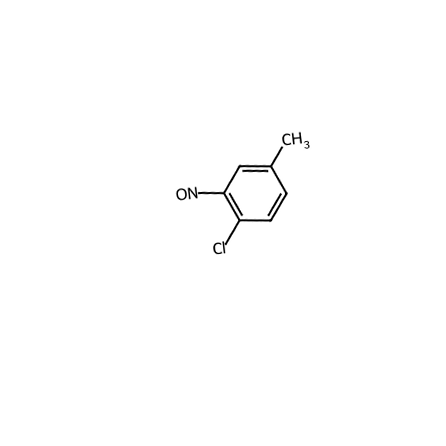 Cc1ccc(Cl)c(N=O)c1